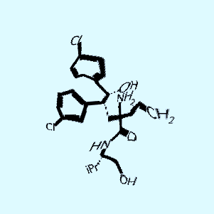 C=CCC(N)(C[C@H](c1cccc(Cl)c1)[C@@H](O)c1ccc(Cl)cc1)C(=O)N[C@H](CO)C(C)C